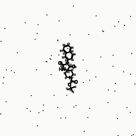 CC(C)(C)OC(=O)N1CCC2(CC1)NC(=O)N(c1ccc3ccccc3c1)C2=O